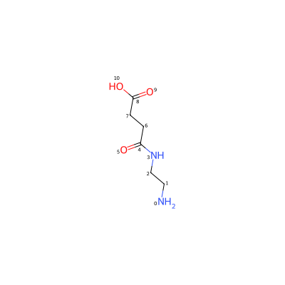 NCCNC(=O)CCC(=O)O